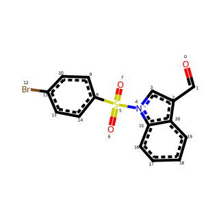 O=Cc1cn(S(=O)(=O)c2ccc(Br)cc2)c2ccccc12